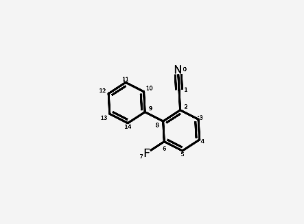 N#Cc1[c]ccc(F)c1-c1ccccc1